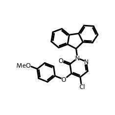 COc1ccc(Oc2c(Cl)cnn(C3c4ccccc4-c4ccccc43)c2=O)cc1